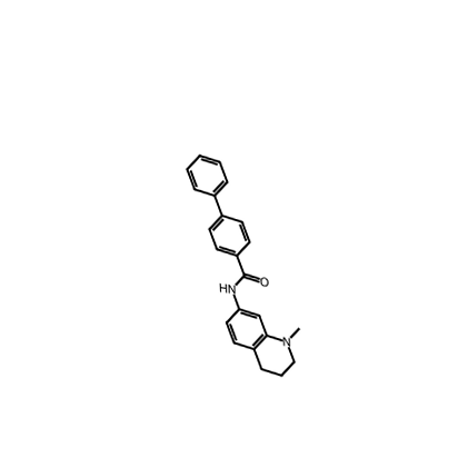 CN1CCCc2ccc(NC(=O)c3ccc(-c4ccccc4)cc3)cc21